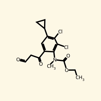 CCOC(=O)N(C)c1c(C(=O)CC=O)cc(C2CC2)c(Cl)c1Cl